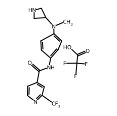 CN(c1ccc(NC(=O)c2ccnc(C(F)(F)F)c2)cc1)C1CNC1.O=C(O)C(F)(F)F